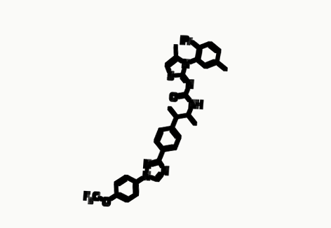 Cc1ccc(C(C)C)c(-n2c(C)cs/c2=N\C(=O)NC(C)C(C)c2ccc(-c3ncn(-c4ccc(OC(F)(F)F)cc4)n3)cc2)c1